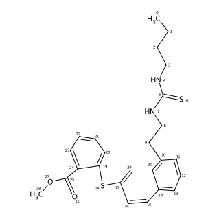 CCCCNC(=S)NCCc1cccc2ccc(Sc3ccccc3C(=O)OC)cc12